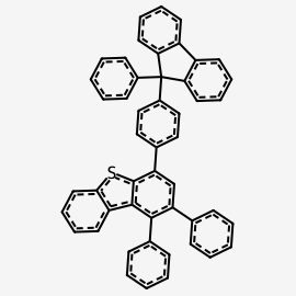 c1ccc(-c2cc(-c3ccc(C4(c5ccccc5)c5ccccc5-c5ccccc54)cc3)c3sc4ccccc4c3c2-c2ccccc2)cc1